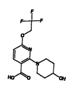 O=C(O)c1ccc(OCC(F)(F)F)nc1N1CCC(O)CC1